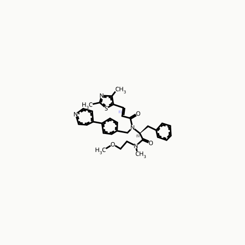 COCCN(C)C(=O)[C@H](Cc1ccccc1)N(Cc1ccc(-c2ccncc2)cc1)C(=O)/C=C/c1sc(C)nc1C